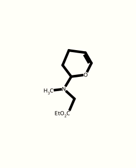 CCOC(=O)CN(C)C1CCC=CO1